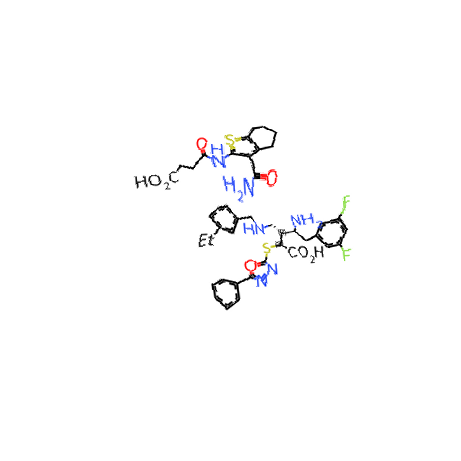 CCc1cccc(CNC[C@H](C(N)Cc2cc(F)cc(F)c2)[C@H](Sc2nnc(-c3ccccc3)o2)C(=O)O)c1.NC(=O)c1c(NC(=O)CCC(=O)O)sc2c1CCCC2